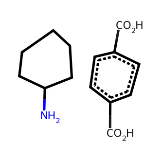 NC1CCCCC1.O=C(O)c1ccc(C(=O)O)cc1